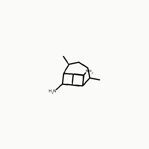 CC1CCC(C)C2C(N)C3C1C(N)C23